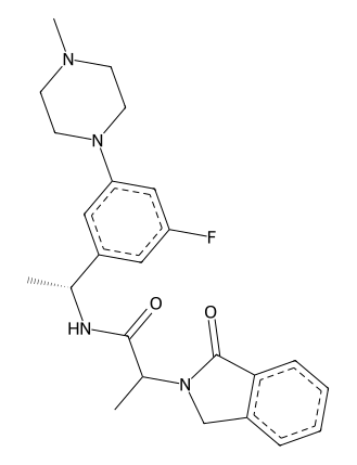 CC(C(=O)N[C@H](C)c1cc(F)cc(N2CCN(C)CC2)c1)N1Cc2ccccc2C1=O